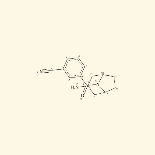 N#Cc1cccc(C(=O)N2C3CCC2CC(N)C3)c1